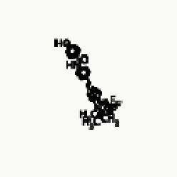 CC(C)(C)c1nc(N2CCN(CC[C@H]3CC[C@@H](NC(=O)[C@H]4CC[C@@H](O)CC4)CC3)CC2)cc(C(F)(F)F)n1